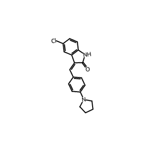 O=C1Nc2ccc(Cl)cc2/C1=C/c1ccc(N2CCCC2)cc1